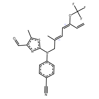 C=C/C(=C\C=C(/C)CN(c1ccc(C#N)cc1)c1nc(C=O)c(C)s1)OC(F)(F)F